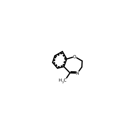 CC1=NCCOc2ccccc21